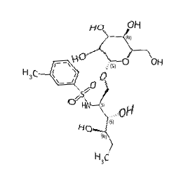 CC[C@@H](O)[C@@H](O)[C@H](CO[C@H]1OC(CO)[C@H](O)C(O)C1O)NS(=O)(=O)c1cccc(C)c1